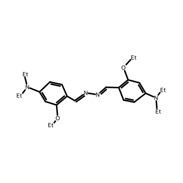 CCOc1cc(N(CC)CC)ccc1C=NN=Cc1ccc(N(CC)CC)cc1OCC